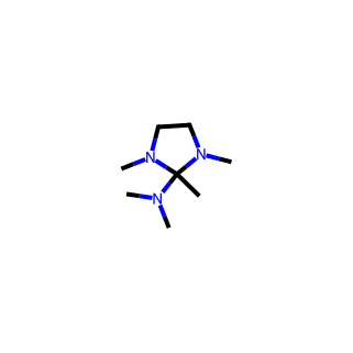 CN(C)C1(C)N(C)CCN1C